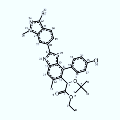 CCOC(=O)[C@@H](OC(C)(C)C)c1c(C)cc2nc(-c3ccc4c(Br)nn(C)c4c3)sc2c1-c1ccc(Cl)cc1